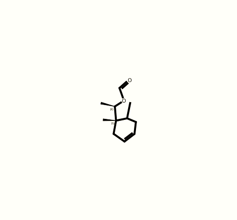 CC1CC=CC[C@]1(C)[C@@H](C)OC=O